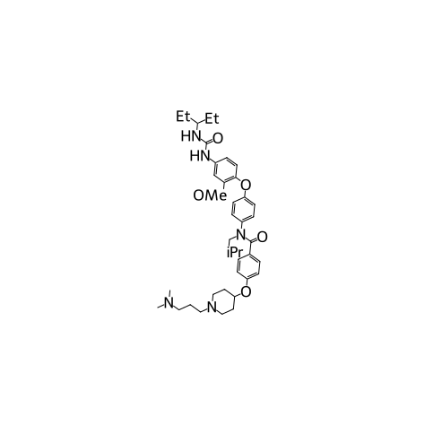 CCC(CC)NC(=O)Nc1ccc(Oc2ccc(N(CC(C)C)C(=O)c3ccc(OC4CCN(CCCN(C)C)CC4)cc3)cc2)c(OC)c1